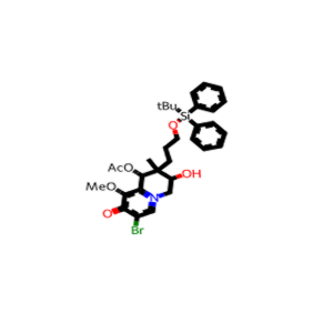 COc1c2n(cc(Br)c1=O)CC(O)C(C)(CCCO[Si](c1ccccc1)(c1ccccc1)C(C)(C)C)C2OC(C)=O